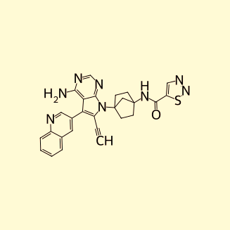 C#Cc1c(-c2cnc3ccccc3c2)c2c(N)ncnc2n1C12CCC(NC(=O)c3cnns3)(CC1)C2